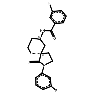 O=C(N[C@@H]1CCC[C@@]2(CCN(c3cccc(F)c3)C2=O)C1)c1cccc(F)c1